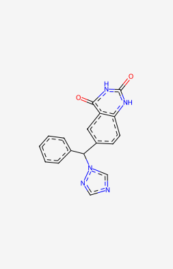 O=c1[nH]c(=O)c2cc(C(c3ccccc3)n3cncn3)ccc2[nH]1